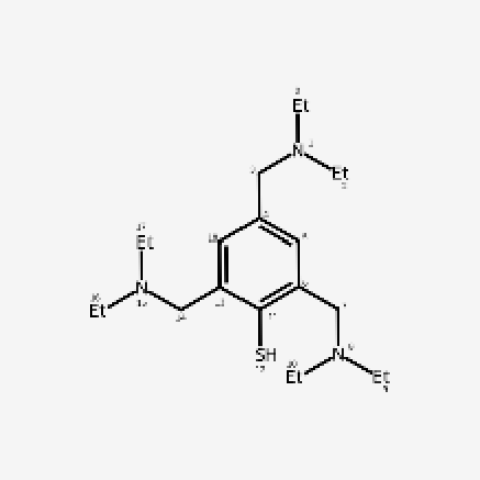 CCN(CC)Cc1cc(CN(CC)CC)c(S)c(CN(CC)CC)c1